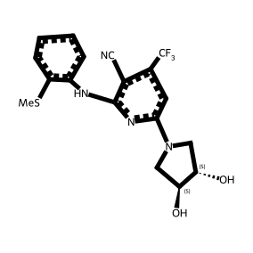 CSc1ccccc1Nc1nc(N2C[C@H](O)[C@@H](O)C2)cc(C(F)(F)F)c1C#N